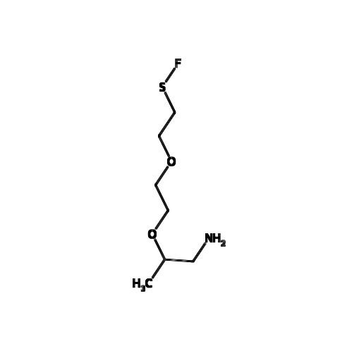 CC(CN)OCCOCCSF